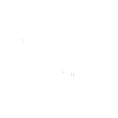 c1ccc(-c2ccc(-c3nc(-c4ccccc4)nc4c3sc3ccc(-c5ccc6cc(-n7c8ccccc8c8ccccc87)ccc6c5)cc34)cc2)cc1